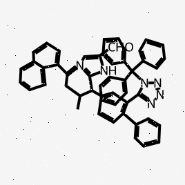 C=C(CC(C)C(c1ccc(-c2ccccc2)c(-c2nnnn2C(c2ccccc2)(c2ccccc2)c2ccccc2)c1)c1ncc(C=O)[nH]1)c1cccc2ccccc12